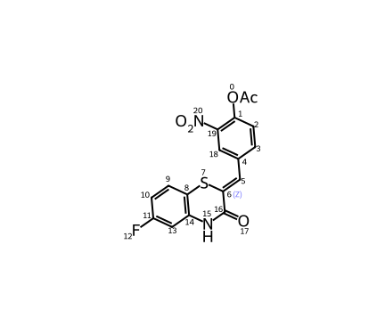 CC(=O)Oc1ccc(/C=C2\Sc3ccc(F)cc3NC2=O)cc1[N+](=O)[O-]